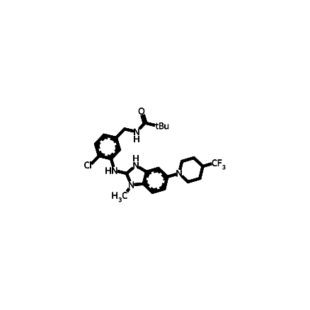 CN1c2ccc(N3CCC(C(F)(F)F)CC3)cc2NC1Nc1cc(CNC(=O)C(C)(C)C)ccc1Cl